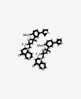 COc1ccc(-c2ccsc2)cc1C(C)(C)CC(O)(Cn1ccc(=O)c2cnccc21)C(F)(F)F.COc1ccc(-c2ccsc2)cc1C(C)(C)CC(O)(Cn1ccc(=O)c2cnccc21)C(F)(F)F